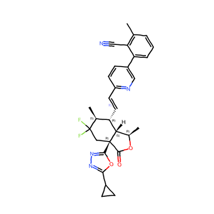 Cc1cccc(-c2ccc(/C=C/[C@@H]3[C@@H]4[C@@H](C)OC(=O)[C@]4(c4nnc(C5CC5)o4)CC(F)(F)[C@H]3C)nc2)c1C#N